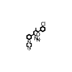 CC1=C(c2cccc(Cl)c2)OC(N=[N])C(c2cccc(N3CCN(C)CC3)c2)=C1